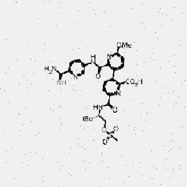 COc1ccc(-c2ccc(C(=O)N[C@H](COS(C)(=O)=O)C(C)(C)C)nc2C(=O)O)c(C(=O)Nc2ccc(C(=N)N)nc2)n1